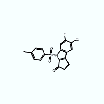 Cc1ccc(S(=O)(=O)n2c3c(c4cc(Cl)c(Cl)cc42)CCC3=O)cc1